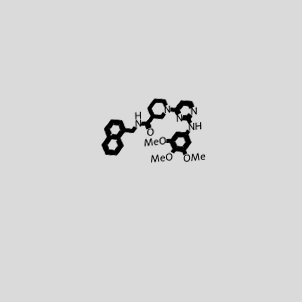 COc1cc(Nc2nccc(N3CCCC(C(=O)NCc4cccc5ccccc45)C3)n2)cc(OC)c1OC